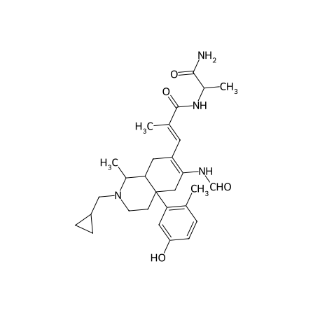 C/C(=C\C1=C(NC=O)CC2(c3cc(O)ccc3C)CCN(CC3CC3)C(C)C2C1)C(=O)NC(C)C(N)=O